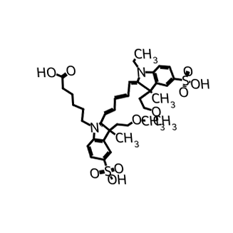 CCN1/C(=C/C=C/C=C/C2=[N+](CCCCCC(=O)O)c3ccc(S(=O)(=O)O)cc3C2(C)CCOC)C(C)(CCOC)c2cc(S(=O)(=O)O)ccc21